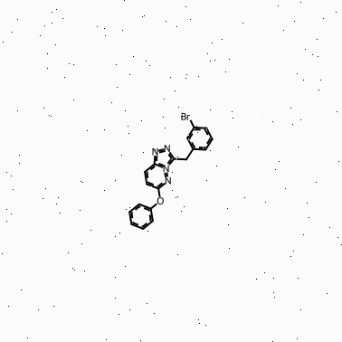 Brc1cccc(Cc2nnc3ccc(Oc4ccccc4)nn23)c1